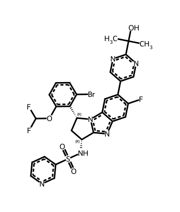 CC(C)(O)c1ncc(-c2cc3c(cc2F)nc2n3[C@@H](c3c(Br)cccc3OC(F)F)C[C@H]2NS(=O)(=O)c2cccnc2)cn1